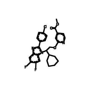 COC(=O)c1ccnc(OCC(C2CCCCC2)n2c(-c3ccc(Cl)cc3)nc3cc(F)c(F)cc32)c1